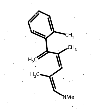 C=C(/C(C)=C\C(C)=C/NC)c1ccccc1C